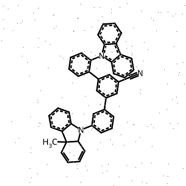 CC12C=CC=CC1N(c1cccc(-c3cc(C#N)cc(-c4ccccc4-n4c5ccccc5c5ccccc54)c3)c1)c1ccccc12